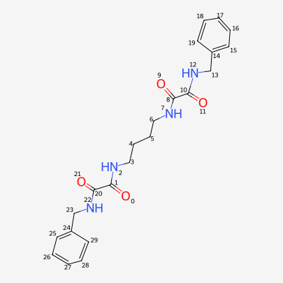 O=C(NCCCCNC(=O)C(=O)NCc1ccccc1)C(=O)NCc1ccccc1